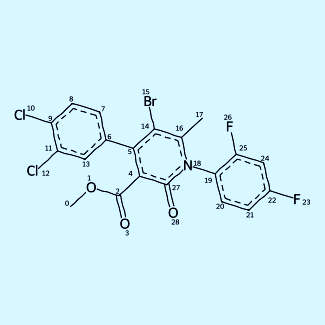 COC(=O)c1c(-c2ccc(Cl)c(Cl)c2)c(Br)c(C)n(-c2ccc(F)cc2F)c1=O